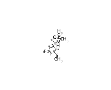 CSc1cc(F)cc([C@H]2COC(C)(C)N2)c1